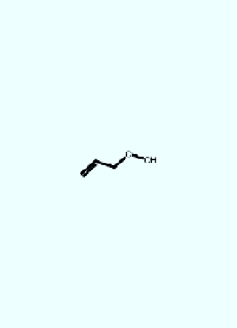 C=[C]COO